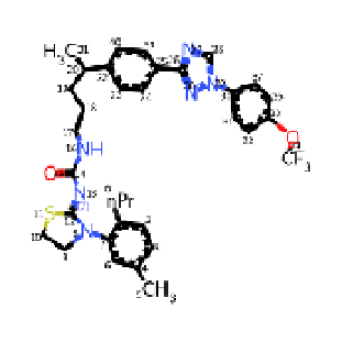 CCCc1ccc(C)cc1N1CCS/C1=N\C(=O)NCCCC(C)c1ccc(-c2ncn(-c3ccc(OC(F)(F)F)cc3)n2)cc1